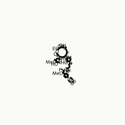 CC[C@H]1OC(=O)[C@H](C)C([C@H]2C[C@@](C)(OC)[C@@H](O)[C@H](C)O2)[C@H](C)[C@@H](O[C@@H]2O[C@H](C)C[C@H](N(C)CCc3cn([C@H](CF)[C@H](OC)c4ccc(N5CCS(=O)(=O)CC5)cc4)nn3)[C@H]2O)[C@](C)(O)C[C@@H](C)CN(C)[C@H](C)[C@@H](O)[C@]1(C)O